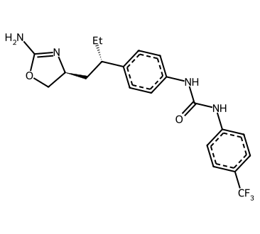 CC[C@@H](C[C@H]1COC(N)=N1)c1ccc(NC(=O)Nc2ccc(C(F)(F)F)cc2)cc1